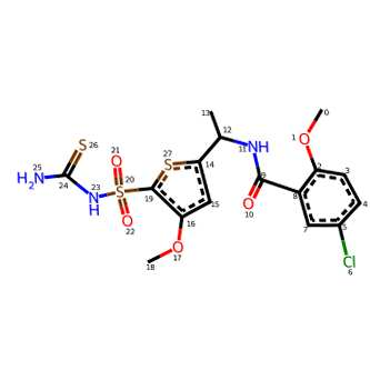 COc1ccc(Cl)cc1C(=O)NC(C)c1cc(OC)c(S(=O)(=O)NC(N)=S)s1